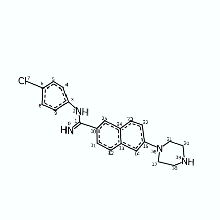 N=C(Nc1ccc(Cl)cc1)c1ccc2cc(N3CCNCC3)ccc2c1